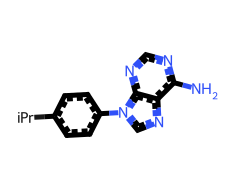 CC(C)c1ccc(-n2cnc3c(N)ncnc32)cc1